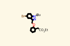 CCOC(=O)Cc1ccccc1OCc1nn([C@@H](C)CC)c2ccc(Br)cc12